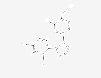 O=Cc1ccc(-n2ccnc2-c2ccc(F)cc2F)cc1Br